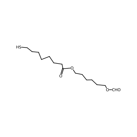 O=COCCCCCCOC(=O)CCCCCCCS